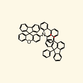 c1ccc(-c2ccccc2N(c2ccc(-c3cccc4c3C(c3ccccc3)(c3ccccc3)c3ccccc3-4)cc2)c2ccc3c(c2)C2(c4ccccc4O3)c3ccccc3-c3ccccc32)cc1